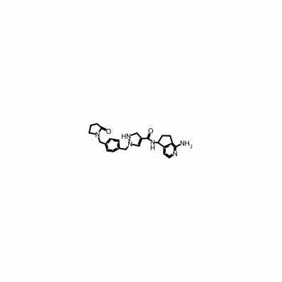 Nc1nccc2c1CCC2NC(=O)C1=CN(Cc2ccc(CN3CCCC3=O)cc2)NC1